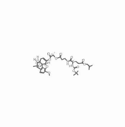 COc1ccc2c3c1O[C@H]1C(OC(=O)[C@H](C)OC(=O)CCNC(=O)[C@@H](CCC(=O)OCC(C)C)NC(=O)OC(C)(C)C)=CC[C@@]4(O)[C@@H](C2)N(C)CC[C@]314